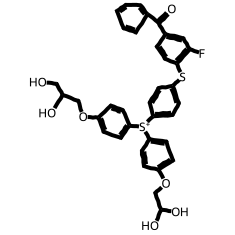 O=C(c1ccccc1)c1ccc(Sc2ccc([S+](c3ccc(OCC(O)O)cc3)c3ccc(OCC(O)CO)cc3)cc2)c(F)c1